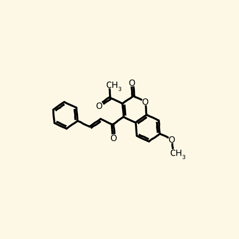 COc1ccc2c(C(=O)C=Cc3ccccc3)c(C(C)=O)c(=O)oc2c1